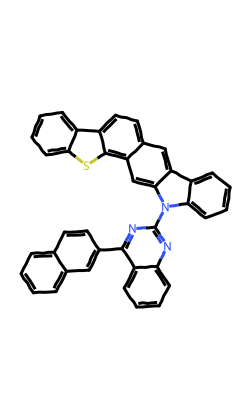 c1ccc2cc(-c3nc(-n4c5ccccc5c5cc6ccc7c8ccccc8sc7c6cc54)nc4ccccc34)ccc2c1